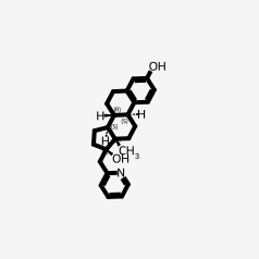 C[C@]12CC[C@@H]3c4ccc(O)cc4CC[C@H]3[C@@H]1CC[C@@]2(O)Cc1ccccn1